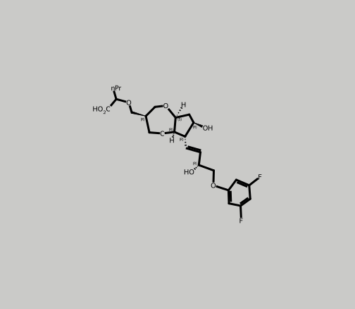 CCCC(OC[C@@H]1CC[C@@H]2[C@@H](C=C[C@@H](O)COc3cc(F)cc(F)c3)[C@H](O)C[C@@H]2OC1)C(=O)O